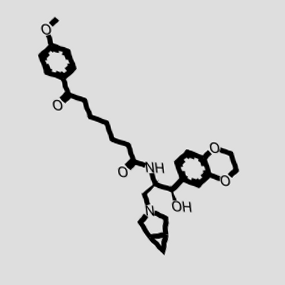 COc1ccc(C(=O)CCCCCC(=O)N[C@H](CN2CC3CC3C2)[C@H](O)c2ccc3c(c2)OCCO3)cc1